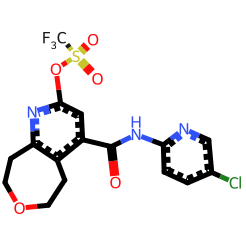 O=C(Nc1ccc(Cl)cn1)c1cc(OS(=O)(=O)C(F)(F)F)nc2c1CCOCC2